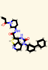 C=CC(=O)N1CCCC(NC(=O)c2sc3nccc4c3c2NC(=O)N4c2cccc(-c3ccccc3)c2)C1